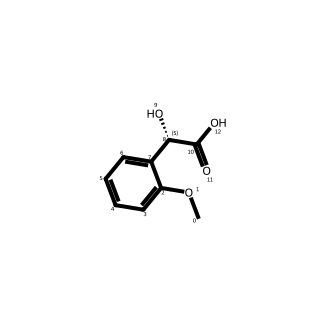 COc1ccccc1[C@H](O)C(=O)O